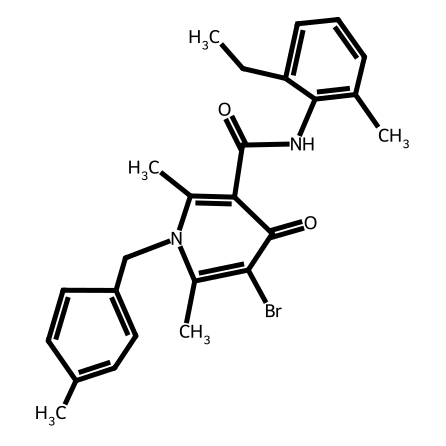 CCc1cccc(C)c1NC(=O)c1c(C)n(Cc2ccc(C)cc2)c(C)c(Br)c1=O